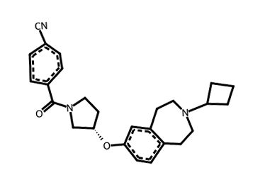 N#Cc1ccc(C(=O)N2CC[C@H](Oc3ccc4c(c3)CCN(C3CCC3)CC4)C2)cc1